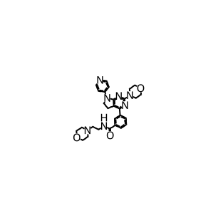 O=C(NCCN1CCOCC1)c1cccc(-c2nc(N3CCOCC3)nc3c2CCN3c2ccncc2)c1